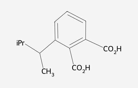 CC(C)C(C)c1cccc(C(=O)O)c1C(=O)O